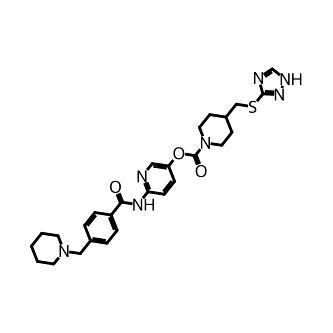 O=C(Nc1ccc(OC(=O)N2CCC(CSc3nc[nH]n3)CC2)cn1)c1ccc(CN2CCCCC2)cc1